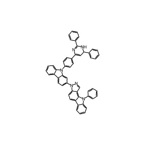 C1=C(c2ccc(-n3c4ccccc4c4ccc(-n5ncc6c5ccc5c7ccccc7n(-c7ccccc7)c56)cc43)cc2)N=C(c2ccccc2)NC1c1ccccc1